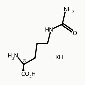 NC(=O)NCCC[C@H](N)C(=O)O.[KH]